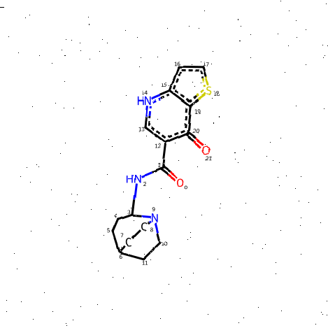 O=C(NC1CCC2CCN1CC2)c1c[nH]c2ccsc2c1=O